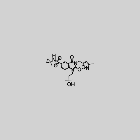 Cc1cc(Cn2c(=O)c3cc(S(=O)(=O)NC4(C)CC4)ccc3n(CCC(C)(C)O)c2=O)on1